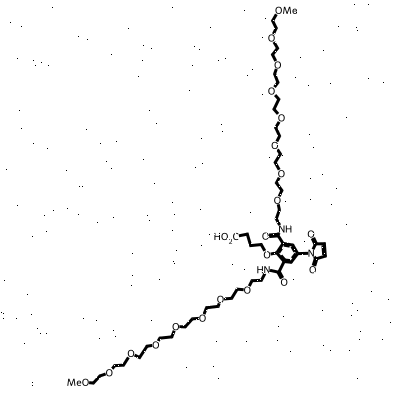 COCCOCCOCCOCCOCCOCCOCCOCCNC(=O)c1cc(N2C(=O)C=CC2=O)cc(C(=O)NCCOCCOCCOCCOCCOCCOCCOCCOC)c1OCCCC(=O)O